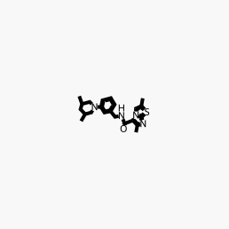 Cc1cn2c(C(=O)NCc3cccc(N4CC(C)CC(C)C4)c3)c(C)nc2s1